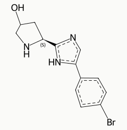 OC1CN[C@H](c2ncc(-c3ccc(Br)cc3)[nH]2)C1